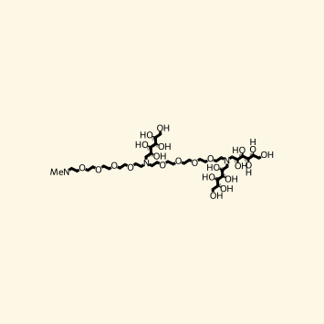 CNCCOCCOCCOCCOCCN(CCOCCOCCOCCOCCN(C[C@H](O)[C@@H](O)[C@H](O)[C@H](O)CO)C[C@H](O)[C@@H](O)[C@H](O)[C@H](O)CO)C[C@H](O)[C@@H](O)[C@H](O)[C@H](O)CO